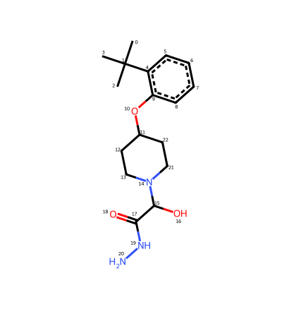 CC(C)(C)c1ccccc1OC1CCN(C(O)C(=O)NN)CC1